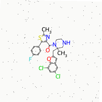 Cc1nc(C(=O)N2CCNCC2(C)Cc2cc3cc(Cl)cc(Cl)c3o2)c(-c2ccc(F)cc2)s1